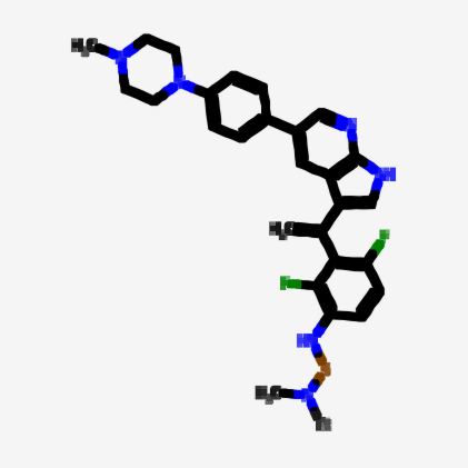 C=C(c1c(F)ccc(NSN(C)CC)c1F)c1c[nH]c2ncc(-c3ccc(N4CCN(C)CC4)cc3)cc12